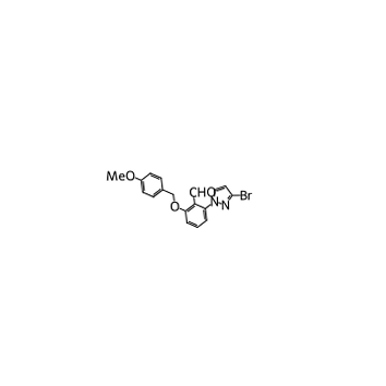 COc1ccc(COc2cccc(-n3ccc(Br)n3)c2C=O)cc1